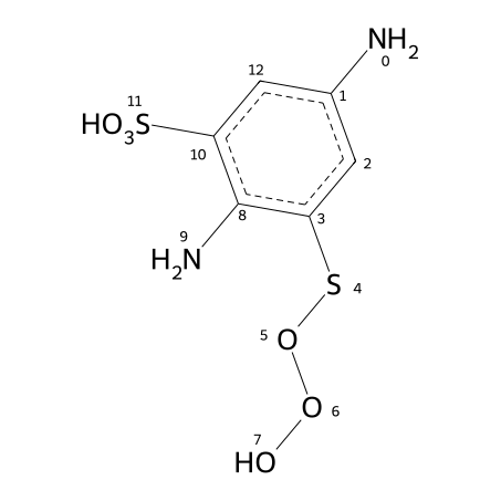 Nc1cc(SOOO)c(N)c(S(=O)(=O)O)c1